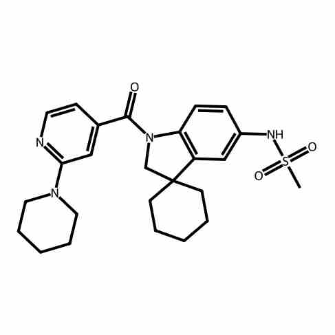 CS(=O)(=O)Nc1ccc2c(c1)C1(CCCCC1)CN2C(=O)c1ccnc(N2CCCCC2)c1